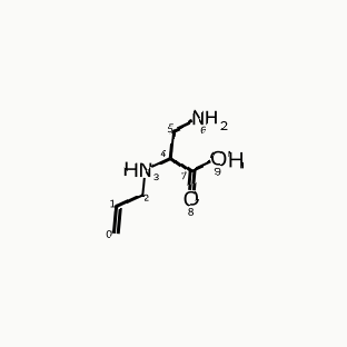 C=CCNC(CN)C(=O)O